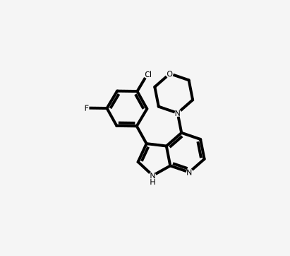 Fc1cc(Cl)cc(-c2c[nH]c3nccc(N4CCOCC4)c23)c1